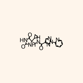 O=C1NC(=O)[C@](CNC(=O)c2cnn(-c3ccccn3)n2)(C2CC2)N1